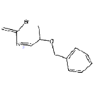 C=C(Br)/N=C\C(C)OCc1ccccc1